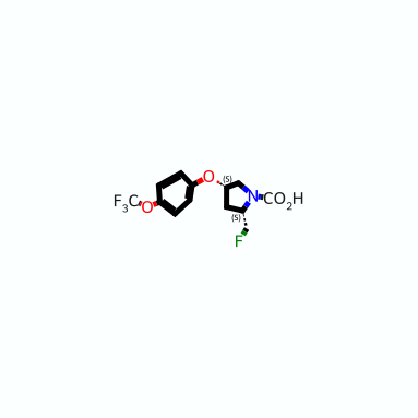 O=C(O)N1C[C@@H](Oc2ccc(OC(F)(F)F)cc2)C[C@H]1CF